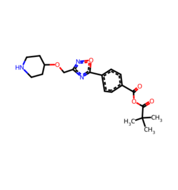 CC(C)(C)C(=O)OC(=O)c1ccc(-c2nc(COC3CCNCC3)no2)cc1